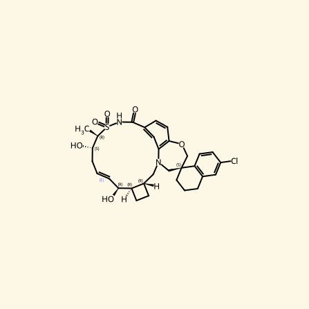 C[C@@H]1[C@@H](O)C/C=C/[C@H](O)[C@@H]2CC[C@H]2CN2C[C@@]3(CCCc4cc(Cl)ccc43)COc3ccc(cc32)C(=O)NS1(=O)=O